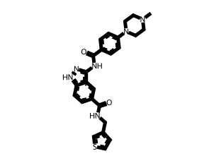 CN1CCN(c2ccc(C(=O)Nc3n[nH]c4ccc(C(=O)NCc5ccsc5)cc34)cc2)CC1